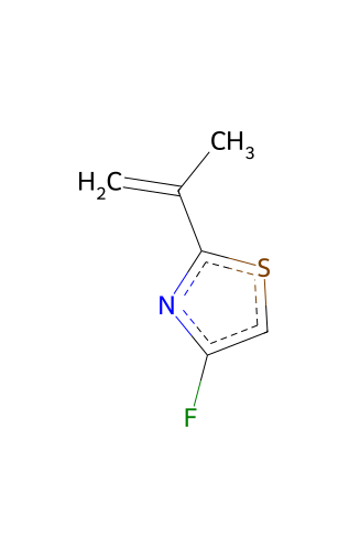 C=C(C)c1nc(F)cs1